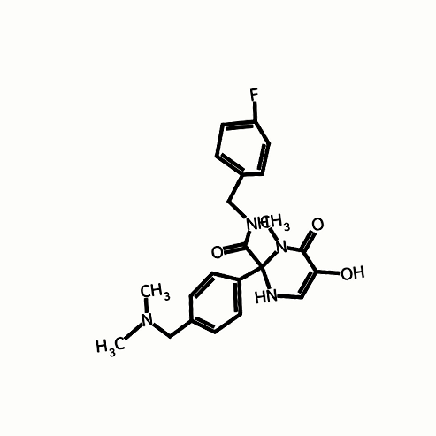 CN(C)Cc1ccc(C2(C(=O)NCc3ccc(F)cc3)NC=C(O)C(=O)N2C)cc1